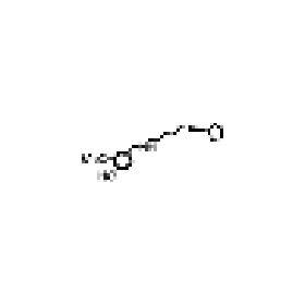 COc1cc(CNCCCCCC#CC2CCCC2)ccc1O